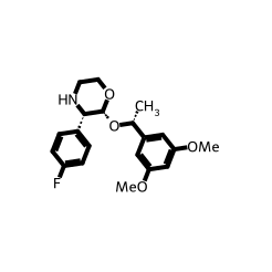 COc1cc(OC)cc([C@@H](C)O[C@H]2OCCN[C@H]2c2ccc(F)cc2)c1